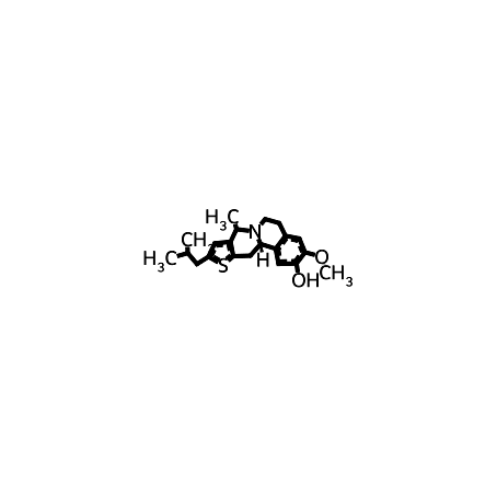 COc1cc2c(cc1O)[C@@H]1Cc3sc(CC(C)C)cc3C(C)N1CC2